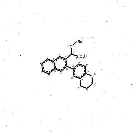 CC(C)(C)OC(C(=O)O)c1cc2ccccc2cc1-c1ccc2c(c1)CCCO2